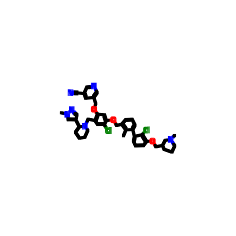 Cc1c(COc2cc(OCc3cncc(C#N)c3)c(CN3CCCCC3c3cnn(C)c3)cc2Cl)cccc1-c1cccc(OCC2CCCN(C)C2)c1Cl